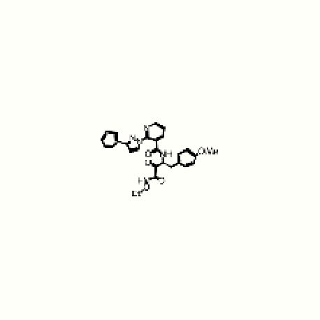 CCONC(=O)C(=O)[C@H](Cc1ccc(OC)cc1)NC(=O)c1cccnc1-n1ccc(-c2ccccc2)n1